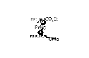 CCOC(=O)C[C@@H]1CC[C@@H](N(C(=O)c2ccc(OC)c(OCCCOC)c2)C(C)C)CN1C(=O)O